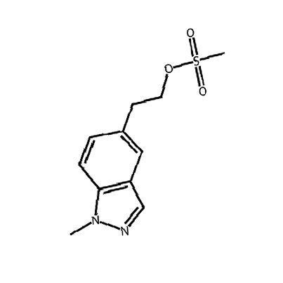 Cn1ncc2cc(CCOS(C)(=O)=O)ccc21